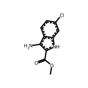 COC(=O)c1[nH]c2cc(Cl)ccc2c1N